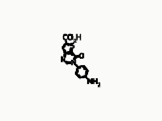 Nc1ccc(-n2cnc3cc(C(=O)O)sc3c2=O)cc1